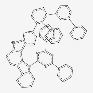 c1ccc(-c2cccc(-c3cccc(-c4ccc5c(c4)[nH]c4ccc6c7ccccc7n(-c7nc(-c8ccccc8)nc(-c8ccccc8)n7)c6c45)c3-c3ccccc3)c2)cc1